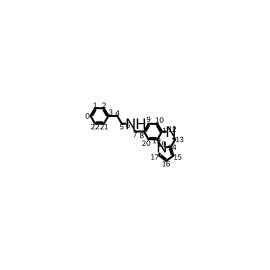 c1ccc(CCNCc2ccc3ncc4cccn4c3c2)cc1